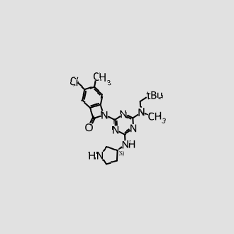 Cc1cc2c(cc1Cl)C(=O)N2c1nc(N[C@H]2CCNC2)nc(N(C)CC(C)(C)C)n1